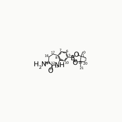 CC1(C)OB(c2ccc3c(c2)NC(=O)[C@@H](N)CC3)OC1(C)C